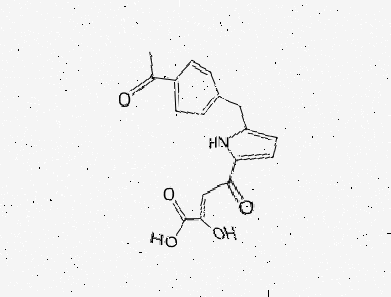 CC(=O)c1ccc(Cc2ccc(C(=O)C=C(O)C(=O)O)[nH]2)cc1